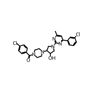 Cc1cc(-c2cccc(Cl)c2)nc(N2CC(O)C(N3CCN(C(=O)c4ccc(Cl)cc4)CC3)C2)n1